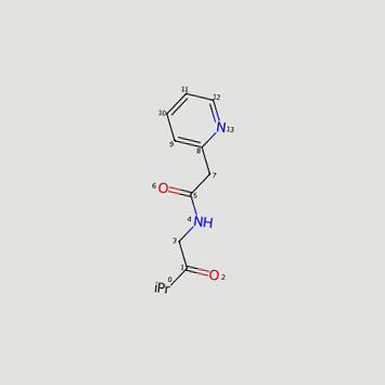 CC(C)C(=O)CNC(=O)Cc1ccccn1